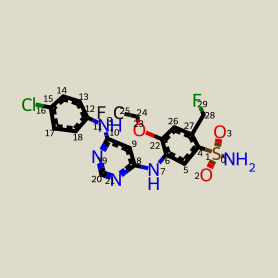 NS(=O)(=O)c1cc(Nc2cc(Nc3ccc(Cl)cc3)ncn2)c(OCC(F)(F)F)cc1CF